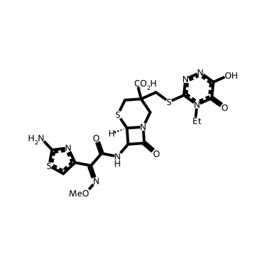 CCn1c(SCC2(C(=O)O)CS[C@@H]3C(NC(=O)C(=NOC)c4csc(N)n4)C(=O)N3C2)nnc(O)c1=O